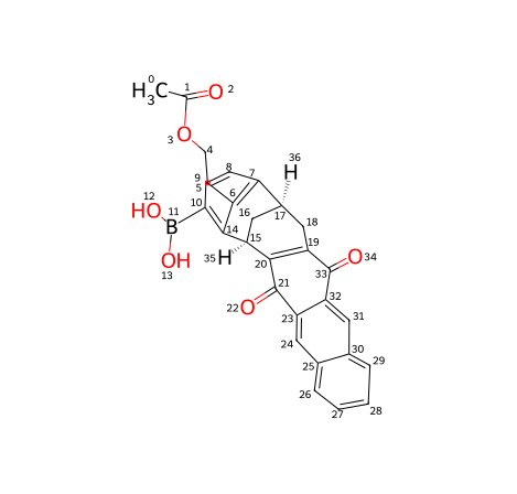 CC(=O)OCCc1c2ccc(B(O)O)c1[C@H]1C[C@@H]2CC2=C1C(=O)c1cc3ccccc3cc1C2=O